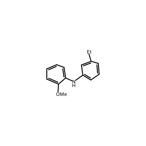 CCc1cccc(Nc2ccccc2OC)c1